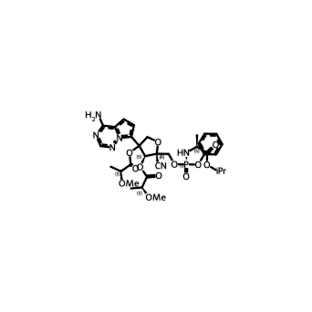 CO[C@@H](C)C(=O)O[C@H]1C(OC(=O)[C@H](C)OC)(c2ccc3c(N)ncnn23)CO[C@]1(C#N)CO[P@@](=O)(N[C@@H](C)C(=O)OC(C)C)Oc1ccccc1